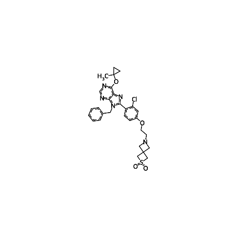 CC1(Oc2ncnc3c2nc(-c2ccc(OCCN4CC5(C4)CS(=O)(=O)C5)cc2Cl)n3Cc2ccccc2)CC1